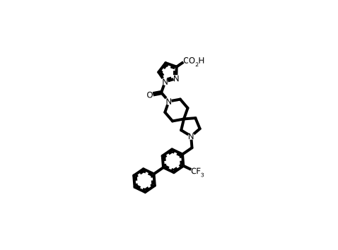 O=C(O)c1ccn(C(=O)N2CCC3(CCN(Cc4ccc(-c5ccccc5)cc4C(F)(F)F)C3)CC2)n1